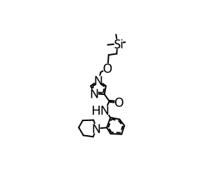 C[Si](C)(C)CCOCn1cnc(C(=O)Nc2ccccc2N2CCCCC2)c1